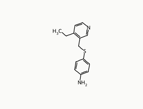 CCc1ccncc1CSc1ccc(N)cc1